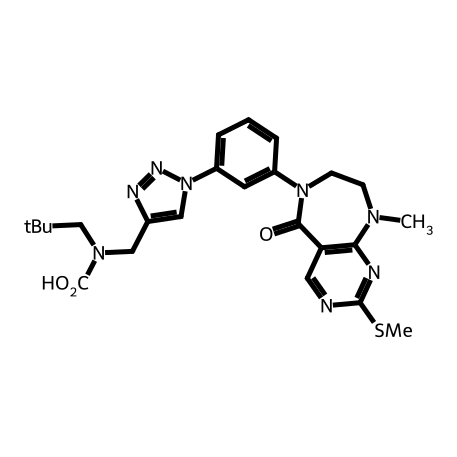 CSc1ncc2c(n1)N(C)CCN(c1cccc(-n3cc(CN(CC(C)(C)C)C(=O)O)nn3)c1)C2=O